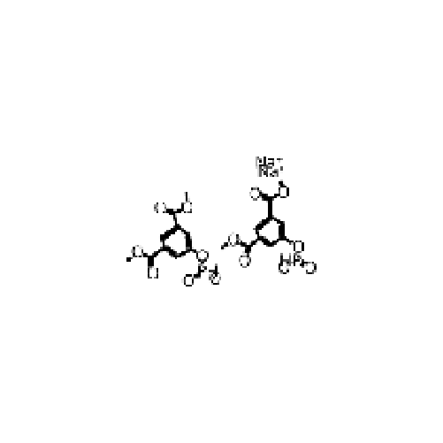 COC(=O)c1cc(O[PH](=O)[O-])cc(C(=O)OC)c1.COC(=O)c1cc(O[PH](=O)[O-])cc(C(=O)OC)c1.[Na+].[Na+]